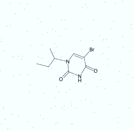 CCC(C)n1cc(Br)c(=O)[nH]c1=O